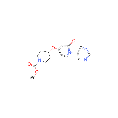 CC(C)OC(=O)N1CCC(Oc2ccn(-c3cncnc3)c(=O)c2)CC1